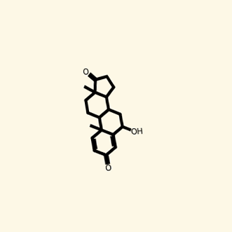 CC12C=CC(=O)C=C1C(O)CC1C2CCC2(C)C(=O)CCC12